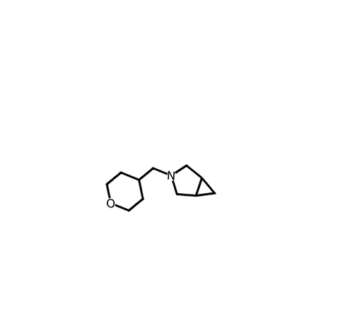 C1CC(CN2CC3CC3C2)CCO1